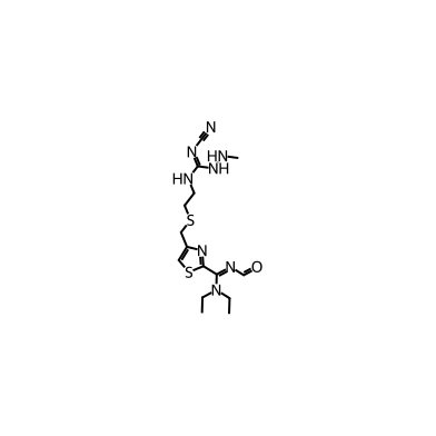 CCN(CC)C(=NC=O)c1nc(CSCCNC(=NC#N)NNC)cs1